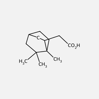 CC1(C)CC2CCC1(C)C(CC(=O)O)C2